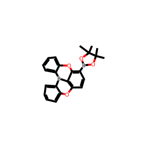 CC1(C)OB(c2ccc3c4c2Oc2ccccc2B4c2ccccc2O3)OC1(C)C